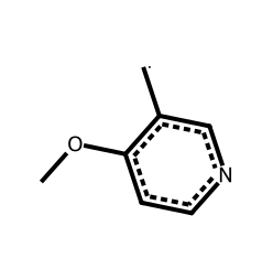 [CH2]c1cnccc1OC